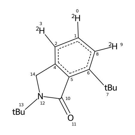 [2H]c1c([2H])c2c(c(C(C)(C)C)c1[2H])C(=O)N(C(C)(C)C)C2